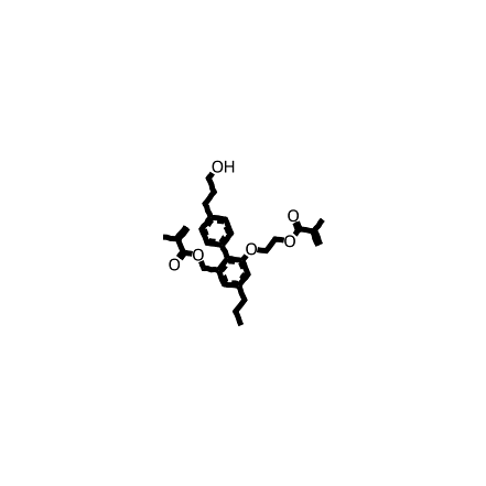 C=C(C)C(=O)OCCOc1cc(CCC)cc(COC(=O)C(=C)C)c1-c1ccc(CCCO)cc1